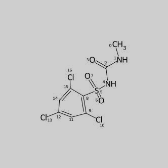 CNC(=O)NS(=O)(=O)c1c(Cl)cc(Cl)cc1Cl